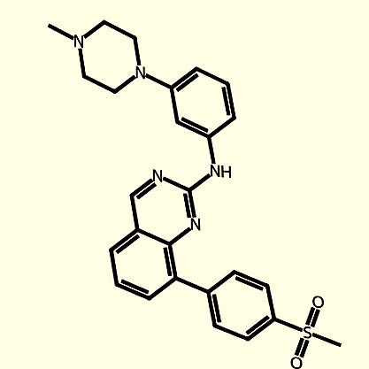 CN1CCN(c2cccc(Nc3ncc4cccc(-c5ccc(S(C)(=O)=O)cc5)c4n3)c2)CC1